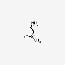 C[S@@+]([O-])CCN